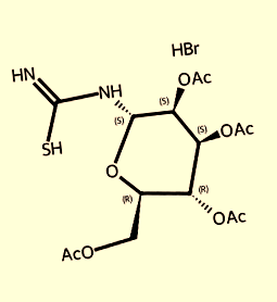 Br.CC(=O)OC[C@H]1O[C@H](NC(=N)S)[C@@H](OC(C)=O)[C@@H](OC(C)=O)[C@@H]1OC(C)=O